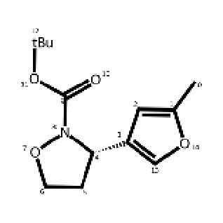 Cc1cc([C@@H]2CCON2C(=O)OC(C)(C)C)co1